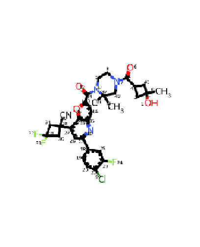 CC1(O)CC(C(=O)N2CCN(C(=O)c3cc4nc(-c5ccc(Cl)c(F)c5)cc(C5(C#N)CC(F)(F)C5)c4o3)C(C)(C)C2)C1